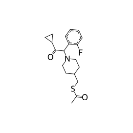 CC(=O)SCC1CCN(C(C(=O)C2CC2)c2ccccc2F)CC1